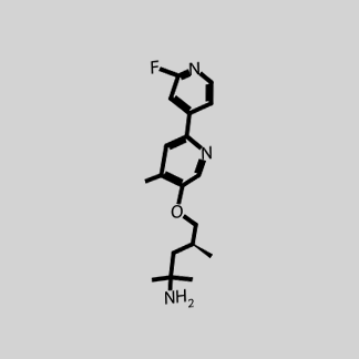 Cc1cc(-c2ccnc(F)c2)ncc1OC[C@@H](C)CC(C)(C)N